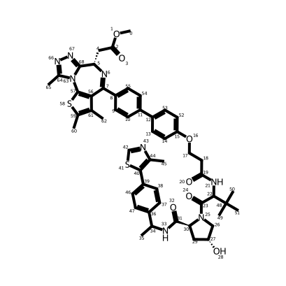 COC(=O)C[C@@H]1N=C(c2ccc(-c3ccc(OCCC(=O)NC(C(=O)N4C[C@H](O)C[C@H]4C(=O)NC(C)c4ccc(-c5scnc5C)cc4)C(C)(C)C)cc3)cc2)c2c(sc(C)c2C)-n2c(C)nnc21